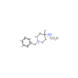 CC1(NC(=O)O)CCN(Cc2ccccc2)CC1